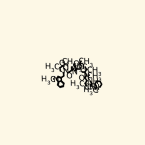 COC(=O)[C@@H](C)C[C@H](Cc1cn(C)c2ccccc12)NC(=O)c1csc([C@@H](CC(C(C)C)N(C)C(=O)[C@@H](NC(=O)[C@H]2CCCCN2C)C(C)C)OC(C)=O)n1